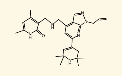 C=CCn1ncc2c(CNCc3c(C)cc(C)[nH]c3=O)cc(C3=CC(C)(C)NC(C)(C)C3)nc21